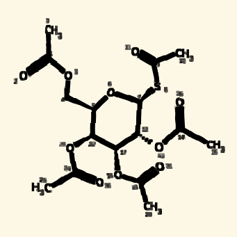 CC(=O)OC[C@H]1O[C@@H](SC(C)=O)[C@H](OC(C)=O)[C@@H](OC(C)=O)[C@H]1OC(C)=O